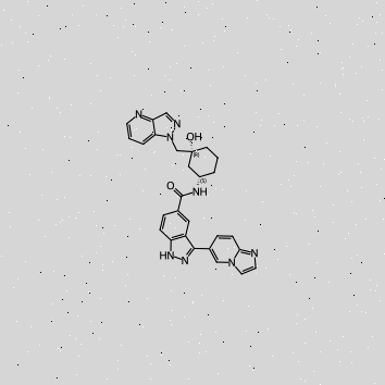 O=C(N[C@H]1CCC[C@](O)(Cn2ncc3ncccc32)C1)c1ccc2[nH]nc(-c3ccc4nccn4c3)c2c1